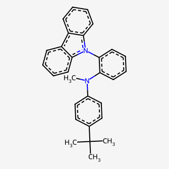 CN(c1ccc(C(C)(C)C)cc1)c1ccccc1-n1c2ccccc2c2ccccc21